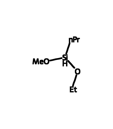 CCC[SiH](OC)OCC